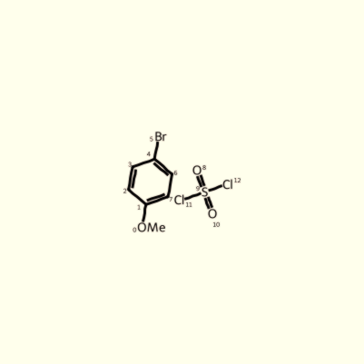 COc1ccc(Br)cc1.O=S(=O)(Cl)Cl